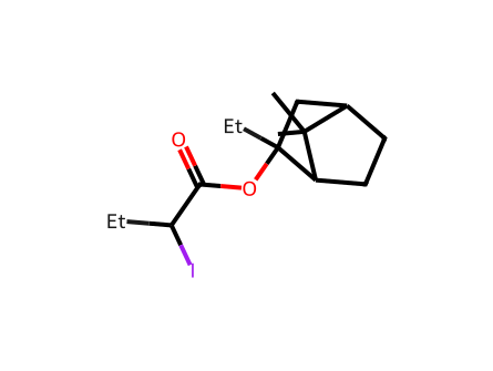 CCC(I)C(=O)OC1(CC)CC2CCC1C2(C)C